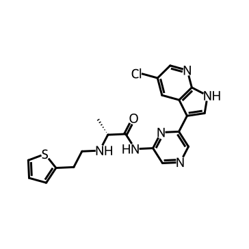 C[C@@H](NCCc1cccs1)C(=O)Nc1cncc(-c2c[nH]c3ncc(Cl)cc23)n1